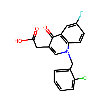 O=C(O)Cc1cn(Cc2ccccc2Cl)c2ccc(F)cc2c1=O